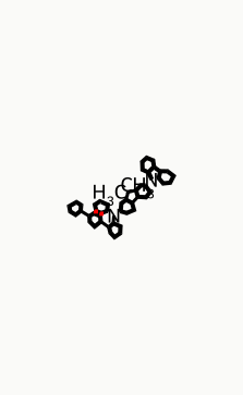 CC1(C)c2cc(N(c3ccccc3)c3ccccc3-c3ccc(-c4ccccc4)cc3)ccc2-c2ccc(-n3c4ccccc4c4ccccc43)cc21